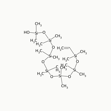 C=C[Si](C)(C)O[Si](C)(C)O[Si](C)(C)O[Si](C)(C)O[Si](C)(C)O[Si](C)(C)O[Si](C)(C)O